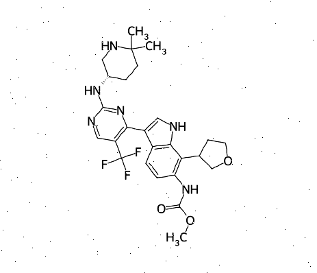 COC(=O)Nc1ccc2c(-c3nc(N[C@H]4CCC(C)(C)NC4)ncc3C(F)(F)F)c[nH]c2c1C1CCOC1